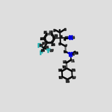 CC(C)C(C#N)(CCCN(C)CCC1CCCCC1)c1cccc(C(F)(F)F)c1